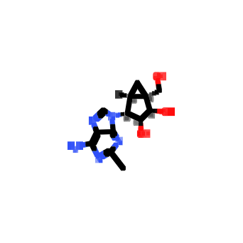 Cc1nc(N)c2ncn([C@H]3[C@H](O)[C@H](O)[C@]4(CO)C[C@H]34)c2n1